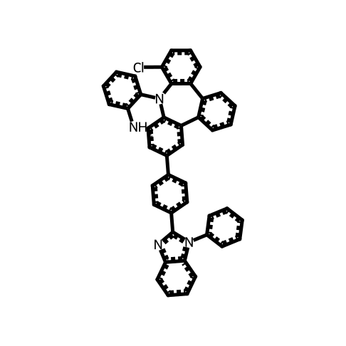 Nc1ccccc1N1c2ccc(-c3ccc(-c4nc5ccccc5n4-c4ccccc4)cc3)cc2-c2ccccc2-c2cccc(Cl)c21